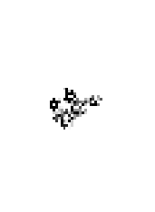 Cc1ccc(-c2nc(Nc3ncc(C(=O)Nc4c(C)cccc4Cl)o3)nc(N3CCN(C)CC3)n2)cc1